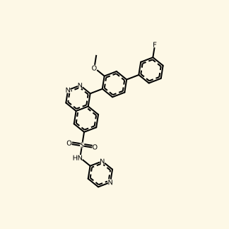 COc1cc(-c2cccc(F)c2)ccc1-c1nncc2cc(S(=O)(=O)Nc3ccncn3)ccc12